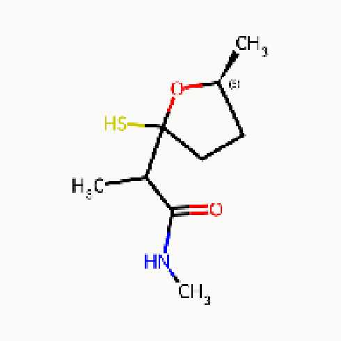 CNC(=O)C(C)C1(S)CC[C@H](C)O1